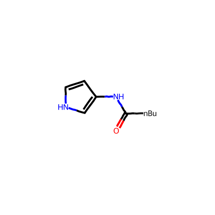 CCCCC(=O)Nc1cc[nH]c1